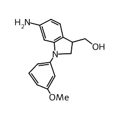 COc1cccc(N2CC(CO)c3ccc(N)cc32)c1